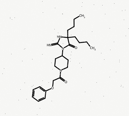 CCCCC1(CCCC)NC(=N)N(C2CCN(C(=O)COc3ccccc3)CC2)C1=O